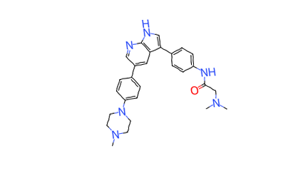 CN(C)CC(=O)Nc1ccc(-c2c[nH]c3ncc(-c4ccc(N5CCN(C)CC5)cc4)cc23)cc1